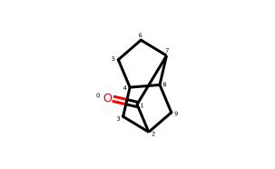 O=C1C2CC3CCC1C3C2